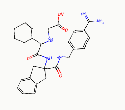 N=C(N)c1ccc(CNC(=O)C2(NC(=O)C(NCC(=O)O)C3CCCCC3)Cc3ccccc3C2)cc1